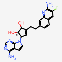 Nc1nc2cc(CCC3=CC(n4ccc5c(N)ncnc54)[C@@H](O)C3O)ccc2cc1F